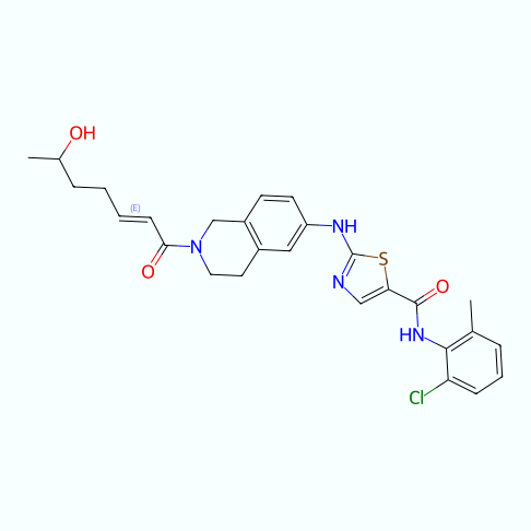 Cc1cccc(Cl)c1NC(=O)c1cnc(Nc2ccc3c(c2)CCN(C(=O)/C=C/CCC(C)O)C3)s1